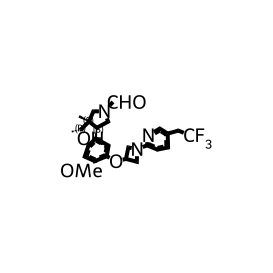 COc1ccc([C@@H]2CN(C=O)C[C@@]2(C)[C@@H](C)O)cc1OC1CN(c2ccc(CC(F)(F)F)cn2)C1